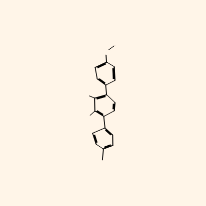 CCCc1ccc(-c2ccc(-c3ccc(OCC)cc3)c(F)c2F)cc1